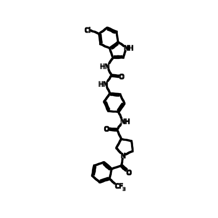 O=C(Nc1ccc(NC(=O)C2CCN(C(=O)c3ccccc3C(F)(F)F)C2)cc1)Nc1c[nH]c2ccc(Cl)cc12